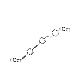 CCCCCCCCC#Cc1ccc(C#Cc2ccc(CC[C@H]3CC[C@H](CCCCCCCC)CC3)cc2)cc1